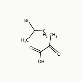 CC(=O)C(=O)O.CC(C)Br